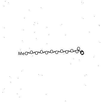 COCCOCCOCCOCCOCCOCCOCCOCCOCCOCCOC(=O)C1CC2C=CC1C2